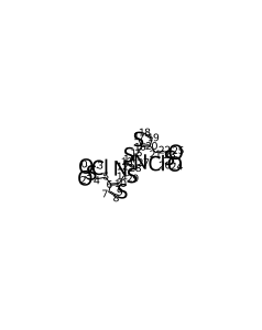 O=S(=O)(Cl)CCc1ccsc1-c1nc2sc(-c3sccc3CCS(=O)(=O)Cl)nc2s1